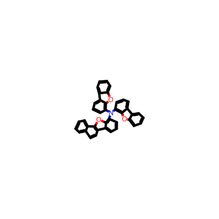 c1ccc2c(c1)ccc1c3cccc(N(c4cccc5c4oc4ccccc45)c4cccc5c4oc4ccccc45)c3oc21